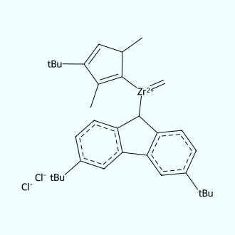 [CH2]=[Zr+2]([C]1=C(C)C(C(C)(C)C)=CC1C)[CH]1c2ccc(C(C)(C)C)cc2-c2cc(C(C)(C)C)ccc21.[Cl-].[Cl-]